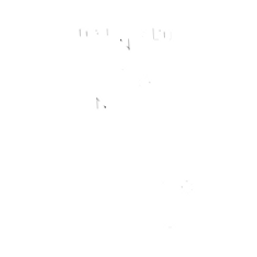 CCCCN(CCCC)C(=O)CN1CCC(c2ccc3c(c2)OCO3)C1